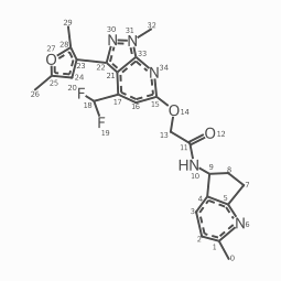 Cc1ccc2c(n1)CCC2NC(=O)COc1cc(C(F)F)c2c(-c3cc(C)oc3C)nn(C)c2n1